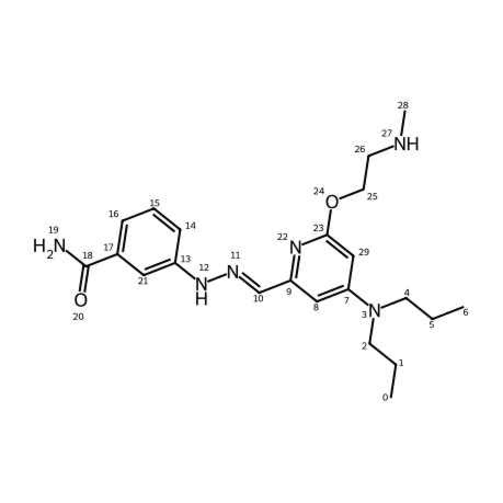 CCCN(CCC)c1cc(/C=N/Nc2cccc(C(N)=O)c2)nc(OCCNC)c1